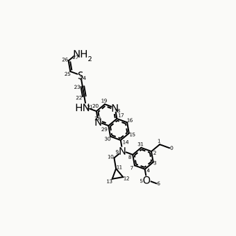 CCc1cc(OC)cc(N(CC2CC2)c2ccc3ncc(NC#CS/C=C\N)nc3c2)c1